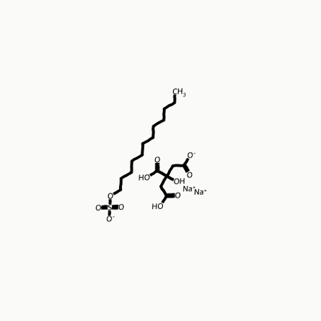 CCCCCCCCCCCCOS(=O)(=O)[O-].O=C([O-])CC(O)(CC(=O)O)C(=O)O.[Na+].[Na+]